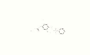 CC[Si](CC)(CCc1cc(C(C)(C)C)c(OC(=O)CCC(=O)O)cc1C(C)(C)C)c1ccccc1